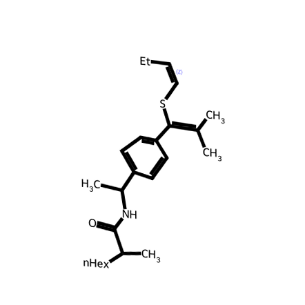 CC/C=C\SC(=C(C)C)c1ccc(C(C)NC(=O)C(C)CCCCCC)cc1